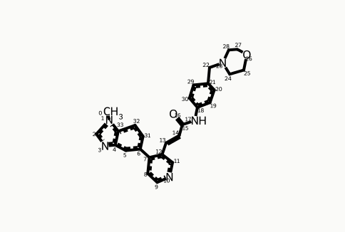 Cn1cnc2cc(-c3ccncc3C=CC(=O)Nc3ccc(CN4CCOCC4)cc3)ccc21